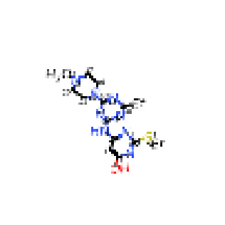 CCSc1nc(O)cc(Nc2nc(CC)nc(N3CCN(C)CC3)n2)n1